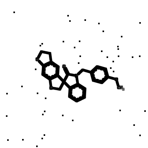 COc1ccc(CN2C(=O)C3(COc4cc5c(cc43)CCO5)c3ccccc32)cc1